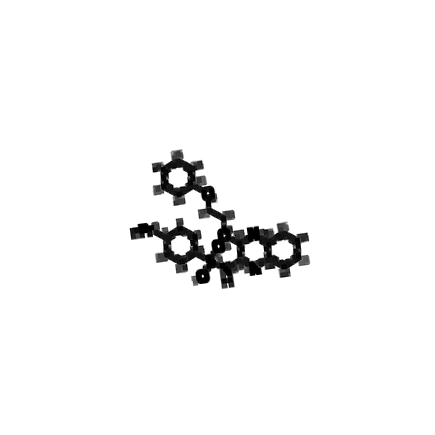 CCCc1ccc(S(=O)(=O)Nc2nc3ccccc3nc2OCCOc2ccccc2)cc1